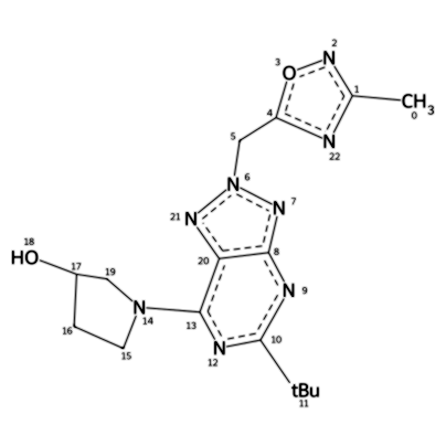 Cc1noc(Cn2nc3nc(C(C)(C)C)nc(N4CCC(O)C4)c3n2)n1